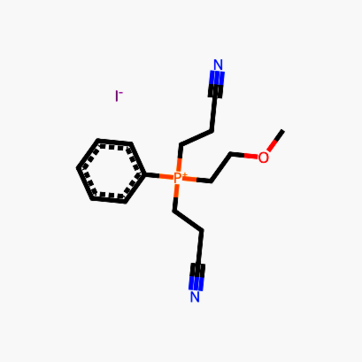 COCC[P+](CCC#N)(CCC#N)c1ccccc1.[I-]